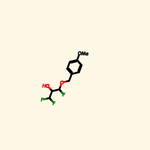 COc1ccc(COC(F)C(O)C(F)F)cc1